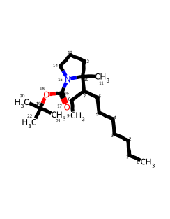 CCCCCCCC(CC)C1(C)CCCN1C(=O)OC(C)(C)C